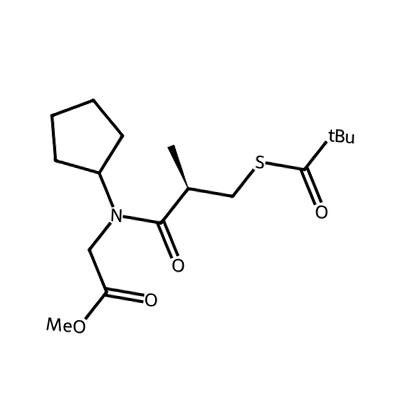 COC(=O)CN(C(=O)[C@@H](C)CSC(=O)C(C)(C)C)C1CCCC1